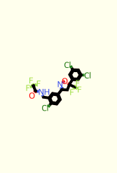 O=C(NCc1cc(C2=NOC(c3cc(Cl)cc(Cl)c3)(C(F)(F)F)C2)ccc1Cl)C(F)(F)F